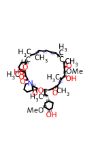 CO[C@@H]1C[C@H](C[C@@H](C)[C@@H]2CC(=O)[C@H](C)/C=C(\C)[C@@H](O)[C@@H](OC)C(=O)[C@H](C)C[C@H](C)/C=C/C=C/C=C(\C)C(C)C[C@@H]3CC[C@@H](C)[C@@](O)(O3)C(=O)C(=O)N3CCCC[C@H]3C(=O)O2)CC[C@@H]1O